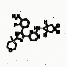 CC1(c2nc(-c3cccc(N)c3F)c(-c3ccnc(N[C@@H]4[C@@H]5CS(=O)(=O)C[C@@H]54)n3)s2)CCOCC1